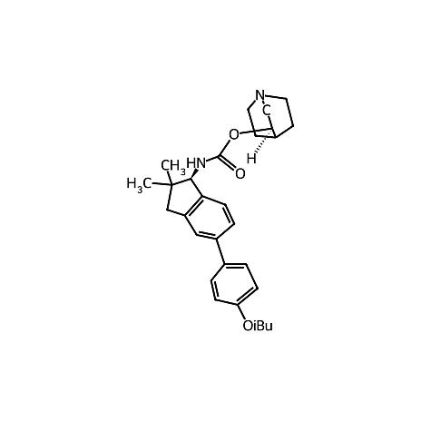 CC(C)COc1ccc(-c2ccc3c(c2)CC(C)(C)[C@H]3NC(=O)O[C@H]2CN3CCC2CC3)cc1